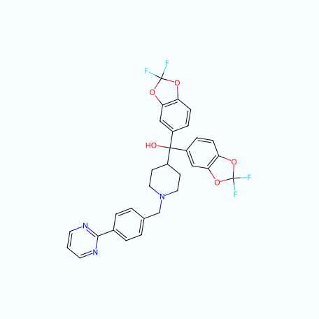 OC(c1ccc2c(c1)OC(F)(F)O2)(c1ccc2c(c1)OC(F)(F)O2)C1CCN(Cc2ccc(-c3ncccn3)cc2)CC1